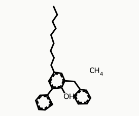 C.CCCCCCCCCc1cc(Cc2ccccc2)c(O)c(-c2ccccc2)c1